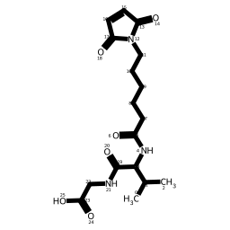 CC(C)C(NC(=O)CCCCCN1C(=O)C=CC1=O)C(=O)NCC(=O)O